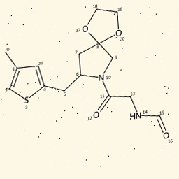 Cc1csc(CC2CC3(CN2C(=O)CNC=O)OCCO3)c1